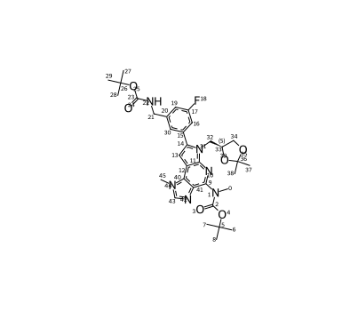 CN(C(=O)OC(C)(C)C)c1nc2c(cc(-c3cc(F)cc(CNC(=O)OC(C)(C)C)c3)n2C[C@H]2COC(C)(C)O2)c2c1ncn2C